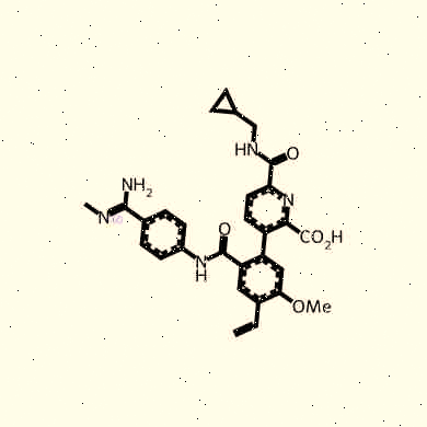 C=Cc1cc(C(=O)Nc2ccc(/C(N)=N/C)cc2)c(-c2ccc(C(=O)NCC3CC3)nc2C(=O)O)cc1OC